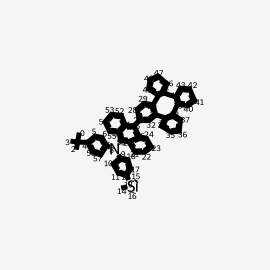 CC(C)(C)c1ccc(N(c2ccc([Si](C)(C)C)cc2)c2c3ccccc3c(-c3ccc4c(c3)-c3ccccc3-c3ccccc3-c3ccccc3-4)c3ccccc23)cc1